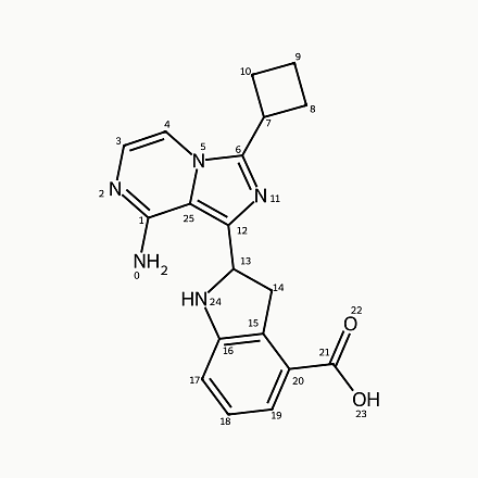 Nc1nccn2c(C3CCC3)nc(C3Cc4c(cccc4C(=O)O)N3)c12